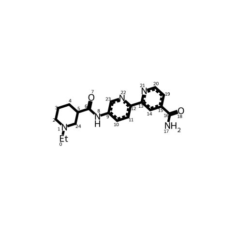 CCN1CCCC(C(=O)Nc2ccc(-c3cc(C(N)=O)ccn3)nc2)C1